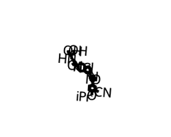 CC(C)Oc1ccc(-c2nc(-c3ccc4c(c3)CCN(C(=O)CNC(CO)CO)CC4)no2)cc1C#N.Cl